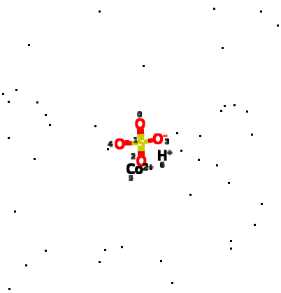 O=S(=O)([O-])[O-].[Co+2].[H+]